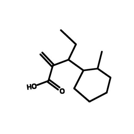 C=C(C(=O)O)C(CC)C1CCCCC1C